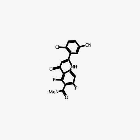 CNC(=O)c1c(F)cc2[nH]c(-c3cc(C#N)ccc3Cl)cc(=O)c2c1F